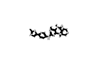 Cc1ncc(-c2ccc(Nc3nc(C)c4c(n3)N(C)C3(CCOCC3)C(=O)N4C)cn2)o1